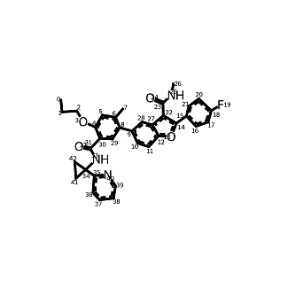 CCCOc1cc(C)c(-c2ccc3oc(-c4ccc(F)cc4)c(C(=O)NC)c3c2)cc1C(=O)NC1(c2ccccn2)CC1